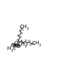 CCCCCCCC(C)(CCCCCCC)OS(C)(=O)=O